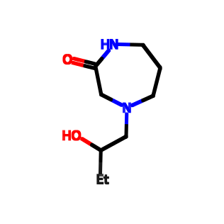 CCC(O)CN1CCCNC(=O)C1